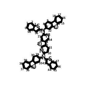 c1ccc2sc(N(c3ccc4c(c3)oc3ccccc34)c3cc4oc5nc(N(c6ccc7c(c6)oc6ccccc67)c6cc7ccccc7s6)ccc5c4cn3)cc2c1